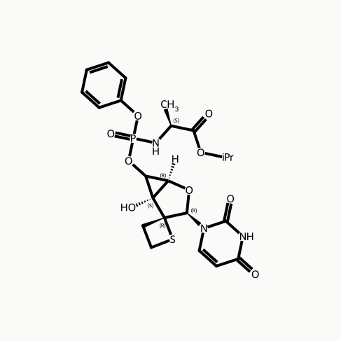 CC(C)OC(=O)[C@H](C)NP(=O)(Oc1ccccc1)OC1[C@H]2O[C@@H](n3ccc(=O)[nH]c3=O)[C@@]3(CCS3)[C@@]12O